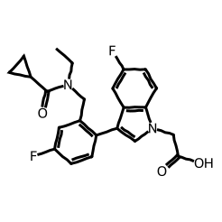 CCN(Cc1cc(F)ccc1-c1cn(CC(=O)O)c2ccc(F)cc12)C(=O)C1CC1